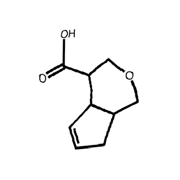 O=C(O)C1COCC2CC=CC21